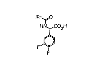 CC(C)C(=O)NC(C(=O)O)c1ccc(F)c(F)c1